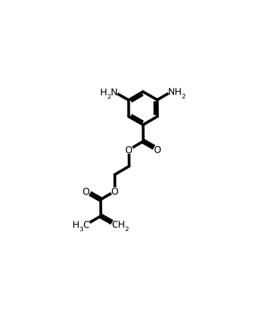 C=C(C)C(=O)OCCOC(=O)c1cc(N)cc(N)c1